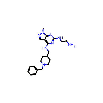 Cn1ncc2c(NCC3CCN(Cc4ccccc4)CC3)nc(NCCN)nc21